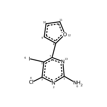 Nc1nc(Cl)c(I)c(-c2ccco2)n1